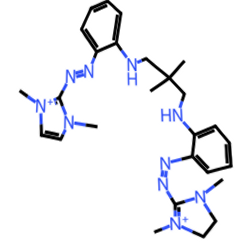 CN1CC[N+](C)=C1/N=N\c1ccccc1NCC(C)(C)CNc1ccccc1/N=N/c1n(C)cc[n+]1C